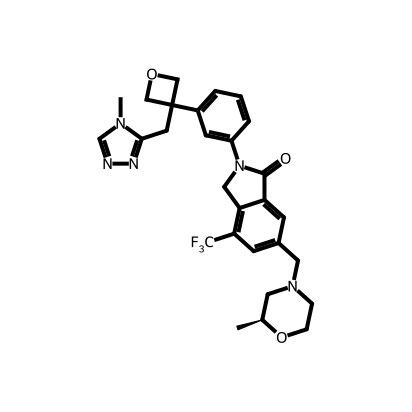 C[C@H]1CN(Cc2cc3c(c(C(F)(F)F)c2)CN(c2cccc(C4(Cc5nncn5C)COC4)c2)C3=O)CCO1